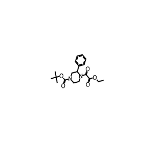 CCOC(=O)C(=O)N1CCN(C(=O)OC(C)(C)C)CC1c1ccccc1